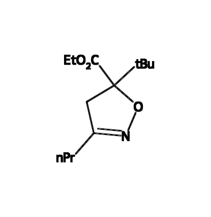 CCCC1=NOC(C(=O)OCC)(C(C)(C)C)C1